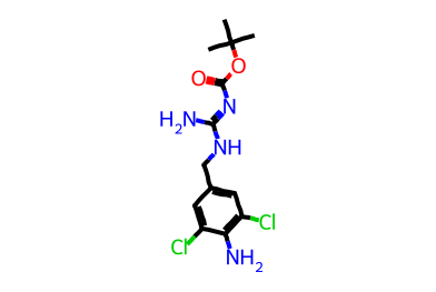 CC(C)(C)OC(=O)/N=C(\N)NCc1cc(Cl)c(N)c(Cl)c1